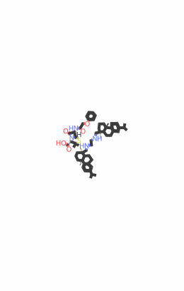 CC(C)c1ccc2c(c1)CCC1[C@](C)(CNCCNC[C@@]3(C)CCC[C@]4(C)c5ccc(C(C)C)cc5CCC34)CCC[C@]21C.CC1(C)S[C@@H]2[C@H](NC(=O)COc3ccccc3)C(=O)N2[C@H]1C(=O)O